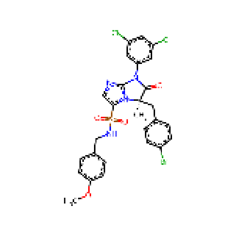 COc1ccc(CNS(=O)(=O)c2cnc3n2[C@](C)(Cc2ccc(Br)cc2)C(=O)N3c2cc(Cl)cc(Cl)c2)cc1